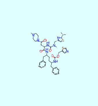 CC(C)c1nc(CN(C)C(=O)NC(CC(=O)N2CCN(C)CC2)C(=O)NC(CCC(Cc2ccccc2)NC(=O)OCc2cncs2)Cc2ccccc2)cs1